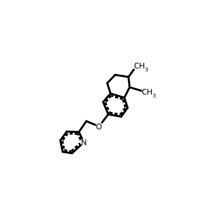 CC1CCc2cc(OCc3ccccn3)ccc2C1C